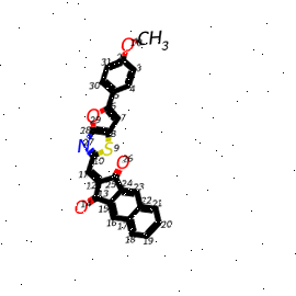 COc1ccc(-c2cc3sc(C=C4C(=O)c5cc6ccccc6cc5C4=O)nc3o2)cc1